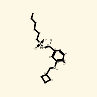 CCCCCCS(=O)(=O)N[C@H](C)c1ccc(F)c(OCC2CCC2)c1